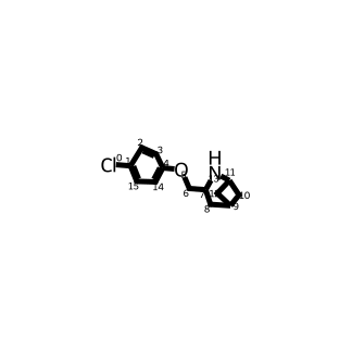 Clc1ccc(OCC2CC3CC(C3)N2)cc1